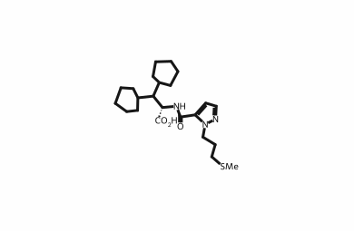 CSCCCn1nccc1C(=O)N[C@H](C(=O)O)C(C1CCCCC1)C1CCCCC1